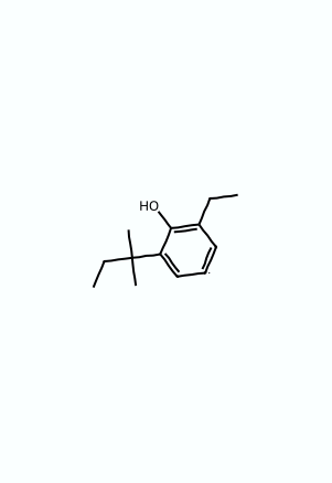 CCc1c[c]cc(C(C)(C)CC)c1O